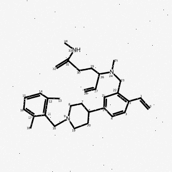 C=Cc1ccc(C2CCN(Cc3c(C)cccc3C)CC2)cc1CN(C)C(C=C)CCC(=C)NC